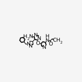 C=CC(=O)Nc1cncc(Oc2ncnc(N)c2C2C=NN(Cc3ccccc3)C2)c1